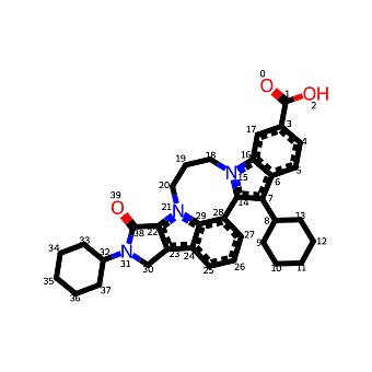 O=C(O)c1ccc2c(C3CCCCC3)c3n(c2c1)CCCn1c2c(c4cccc-3c41)CN(C1CCCCC1)C2=O